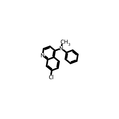 CN(c1ccccc1)c1ccnc2cc(Cl)ccc12